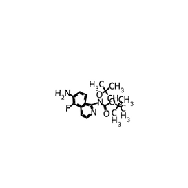 CC(C)(C)OC(=O)N(OC(C)(C)C)c1nccc2c(F)c(N)ccc12